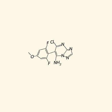 COc1cc(F)c(-c2c(Cl)nc3ncnn3c2N)c(F)c1